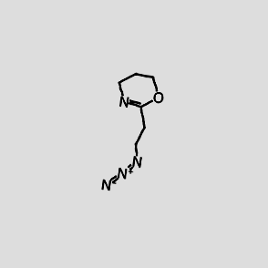 [N-]=[N+]=NCCC1=NCCCO1